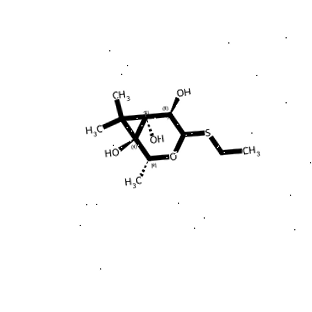 CCSC1O[C@H](C)[C@]2(O)C(C)(C)[C@@]2(O)[C@H]1O